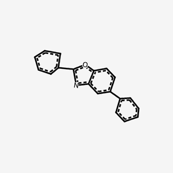 c1ccc(-c2ccc3oc(-c4ccccc4)nc3c2)cc1